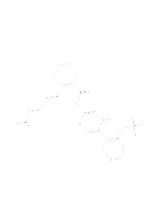 O=C(O)NCCC(=O)N1CCCCC1C(=O)Nc1ccc(-c2ccccc2OC(F)(F)F)c(Cl)c1